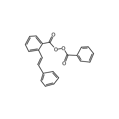 O=C(OOC(=O)c1ccccc1C=Cc1ccccc1)c1ccccc1